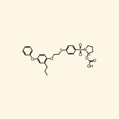 CCCc1cc(Oc2ccccc2)ccc1OCCSc1ccc(S(=O)(=O)N2CCC[C@H]2OC(=O)O)cc1